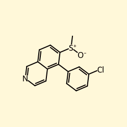 C[S+]([O-])c1ccc2cnccc2c1-c1cccc(Cl)c1